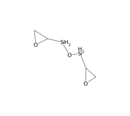 C1OC1[SiH2]O[SiH2]C1CO1